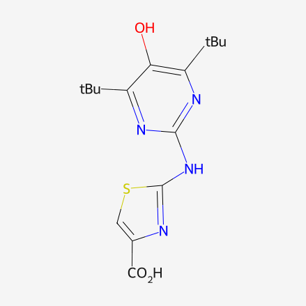 CC(C)(C)c1nc(Nc2nc(C(=O)O)cs2)nc(C(C)(C)C)c1O